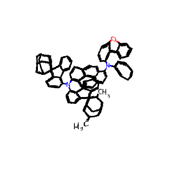 CC1CC2CC(C)C3(c4ccccc4-c4c(N(c5cccc6c5-c5ccccc5C65C6CC7CC(C6)CC5C7)c5ccc6ccc7c(N(c8ccccc8)c8cccc9oc%10ccccc%10c89)ccc8ccc5c6c87)cccc43)C(C1)C2